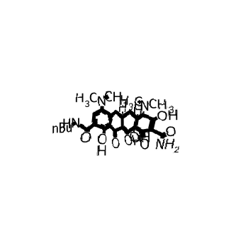 CCCCNC(=O)c1cc(N(C)C)c2c(c1O)C(=O)C1=C(O)[C@]3(O)C(=O)C(C(N)=O)=C(O)[C@@H](N(C)C)[C@@H]3C[C@@H]1C2